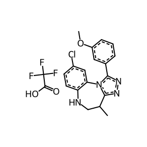 COc1cccc(-c2nnc3n2-c2cc(Cl)ccc2NCC3C)c1.O=C(O)C(F)(F)F